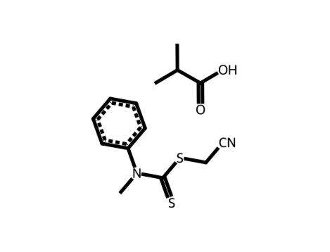 CC(C)C(=O)O.CN(C(=S)SCC#N)c1ccccc1